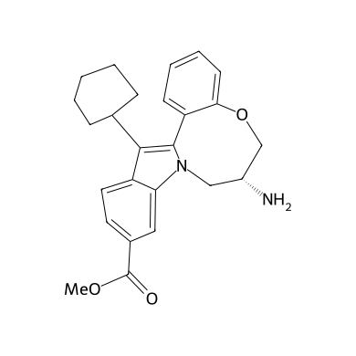 COC(=O)c1ccc2c(C3CCCCC3)c3n(c2c1)C[C@@H](N)COc1ccccc1-3